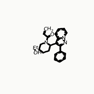 C=CC(=O)N1CCCCC1c1c(-c2ccccc2)nn2ccccc12.CCO